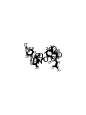 COC1[C@H](OC(=O)N[C@@H](C(=O)N(C)C2CCN(C)CC2)C(C)C)CC[C@]2(CO2)[C@H]1[C@@]1(C)O[C@@H]1CC=C(C)C